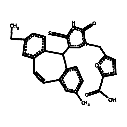 CCc1ccc2c(c1)C=Cc1cc(C)ccc1C2c1cn(Cc2ccc(C(=O)O)o2)c(=O)[nH]c1=S